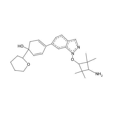 CC1(C)C(N)C(C)(C)C1On1ncc2ccc(C3=CCC(O)(C4CCCCO4)C=C3)cc21